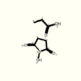 CCC(=O)O.O=C1CCC(=O)N1O